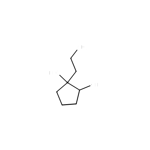 CCCC1(C)CC[CH]C1C